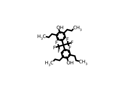 CCCc1cc(C(c2cc(CCC)c(O)c(CCC)c2)(C(F)(F)F)C(F)(F)F)cc(CCC)c1O